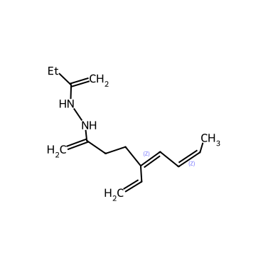 C=C/C(=C\C=C/C)CCC(=C)NNC(=C)CC